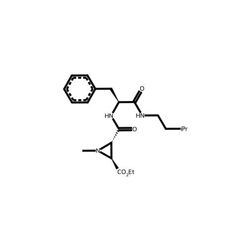 CCOC(=O)[C@@H]1[C@@H](C(=O)N[C@@H](Cc2ccccc2)C(=O)NCCC(C)C)N1C